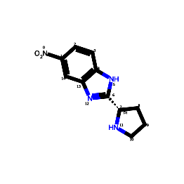 O=[N+]([O-])c1ccc2[nH]c([C@@H]3CCCN3)nc2c1